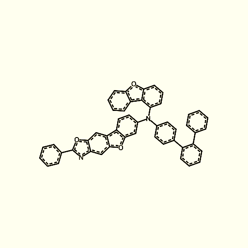 c1ccc(-c2nc3cc4oc5cc(N(c6ccc(-c7ccccc7-c7ccccc7)cc6)c6cccc7oc8ccccc8c67)ccc5c4cc3o2)cc1